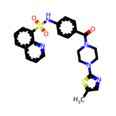 Cc1cnc(N2CCN(C(=O)c3ccc(NS(=O)(=O)c4cccc5cccnc45)cc3)CC2)s1